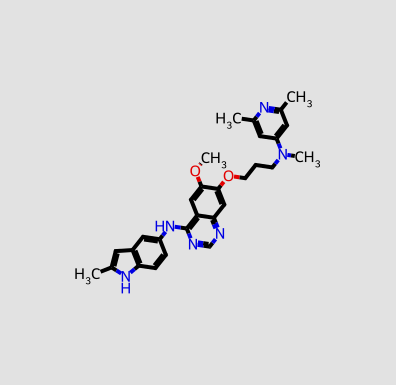 COc1cc2c(Nc3ccc4[nH]c(C)cc4c3)ncnc2cc1OCCCN(C)c1cc(C)nc(C)c1